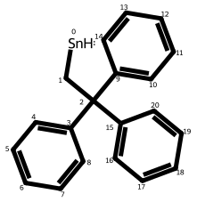 [SnH][CH2]C(c1ccccc1)(c1ccccc1)c1ccccc1